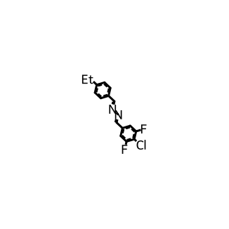 CCc1ccc(C=NN=Cc2cc(F)c(Cl)c(F)c2)cc1